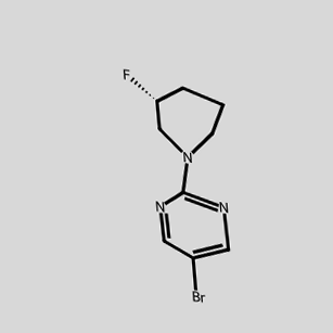 F[C@@H]1CCCN(c2ncc(Br)cn2)C1